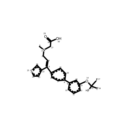 CN(C/C=C(/c1ccc(-c2cccc(OC(F)(F)F)c2)cc1)c1ccsc1)CC(=O)O